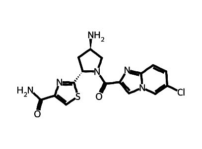 NC(=O)c1csc([C@@H]2C[C@@H](N)CN2C(=O)c2cn3cc(Cl)ccc3n2)n1